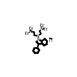 CCN(CC)CCN(CCN(CC)CC)n1cc(-c2ccccc2)c2ccccc21.CI.CI